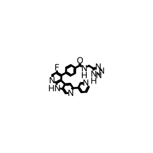 O=C(NCc1nnn[nH]1)c1ccc(-c2c(F)cnc3[nH]c4cnc(-c5cccnc5)cc4c23)cc1